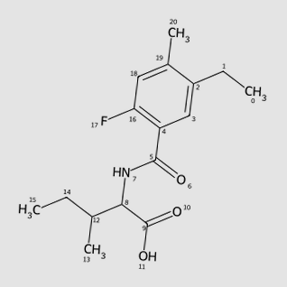 CCc1cc(C(=O)NC(C(=O)O)C(C)CC)c(F)cc1C